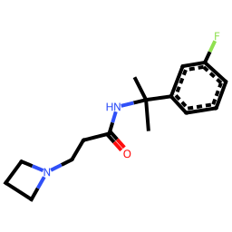 CC(C)(NC(=O)CCN1CCC1)c1cccc(F)c1